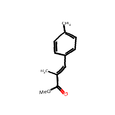 COC(=O)/C(C)=C/c1ccc(C)cc1